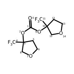 O=C(OC1(C(F)(F)F)CCOC1)OC1(C(F)(F)F)CCOC1